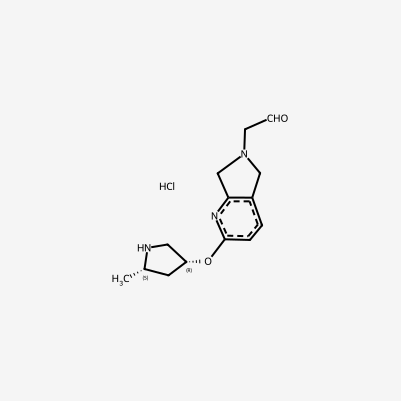 C[C@H]1C[C@@H](Oc2ccc3c(n2)CN(CC=O)C3)CN1.Cl